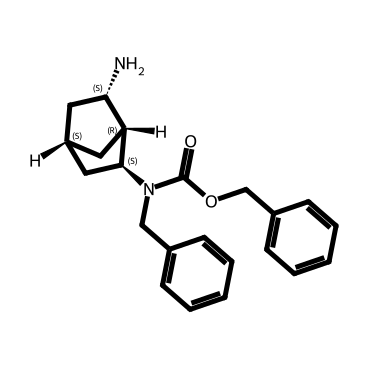 N[C@H]1C[C@@H]2C[C@H]1[C@@H](N(Cc1ccccc1)C(=O)OCc1ccccc1)C2